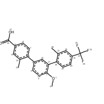 COc1ncc(-c2ccc(C(=O)O)cc2C)cc1-c1ccc(C(F)(F)F)cc1C